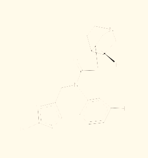 O=C(O[C@H]1CN2CCC1CC2)N(Cc1ccc(Br)s1)c1cccc(F)c1